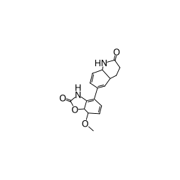 COC1C=CC(C2=CC3CCC(=O)NC3C=C2)=C2NC(=O)OC21